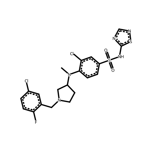 CN(c1ccc(S(=O)(=O)Nc2ncns2)cc1Cl)C1CCN(Cc2cc(Cl)ccc2F)C1